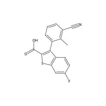 Cc1c(C#N)cccc1-c1c(C(=O)O)sc2cc(F)ccc12